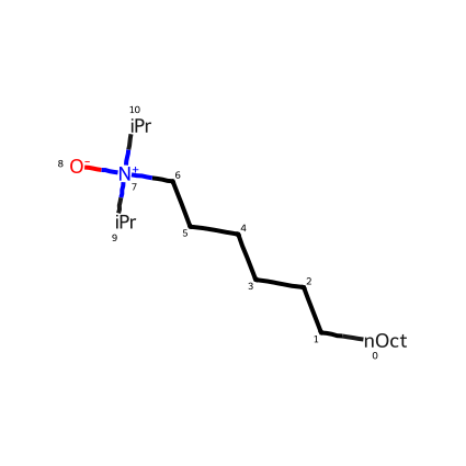 CCCCCCCCCCCCCC[N+]([O-])(C(C)C)C(C)C